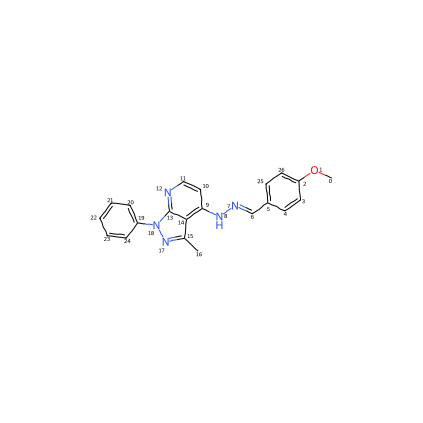 COc1ccc(/C=N/Nc2ccnc3c2c(C)nn3-c2ccccc2)cc1